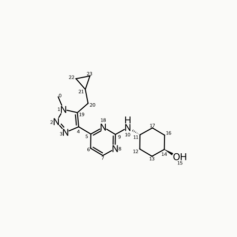 Cn1nnc(-c2ccnc(N[C@H]3CC[C@H](O)CC3)n2)c1CC1CC1